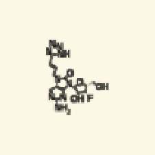 Nc1ncc2c(n1)n([C@@H]1O[C@H](CO)[C@H](F)[C@@H]1O)c(=O)n2C/C=C/c1nnn[nH]1